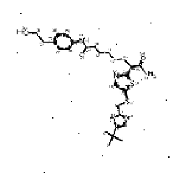 CC(C)(C)c1cnc(CSc2cnc(C(CCCCCC(=O)Nc3ccc(CCO)cc3)C(N)=O)s2)o1